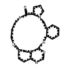 O=c1ncccoc2ccc3ncnc(nc4ccccc4cn4cccc14)c3c2